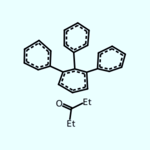 CCC(=O)CC.c1ccc(-c2cccc(-c3ccccc3)c2-c2ccccc2)cc1